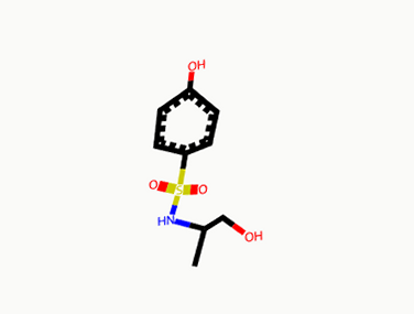 CC(CO)NS(=O)(=O)c1ccc(O)cc1